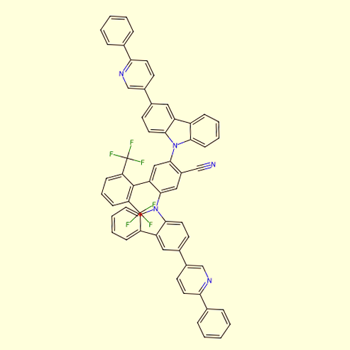 N#Cc1cc(-n2c3ccccc3c3cc(-c4ccc(-c5ccccc5)nc4)ccc32)c(-c2c(C(F)(F)F)cccc2C(F)(F)F)cc1-n1c2ccccc2c2cc(-c3ccc(-c4ccccc4)nc3)ccc21